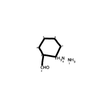 N.N.O=CC1CCCCC1